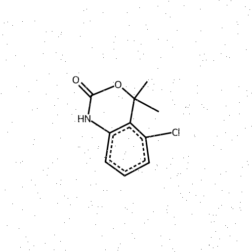 CC1(C)OC(=O)Nc2cccc(Cl)c21